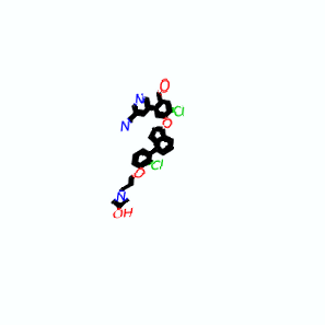 N#Cc1cncc(-c2cc(OC3CCc4c(-c5cccc(OCCCN6CC(O)C6)c5Cl)cccc43)c(Cl)cc2C=O)c1